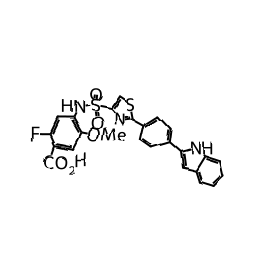 COc1cc(C(=O)O)c(F)cc1NS(=O)(=O)c1csc(-c2ccc(-c3cc4ccccc4[nH]3)cc2)n1